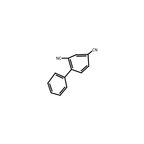 N#Cc1ccc(-c2c[c]ccc2)c(C#N)c1